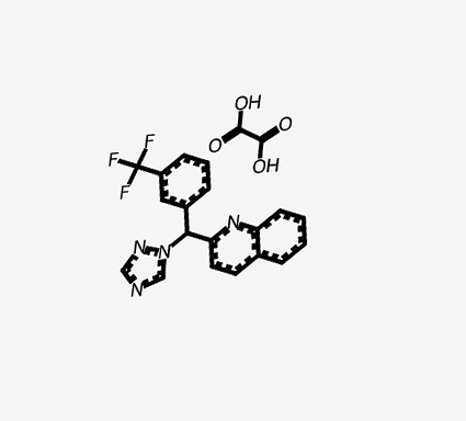 FC(F)(F)c1cccc(C(c2ccc3ccccc3n2)n2cncn2)c1.O=C(O)C(=O)O